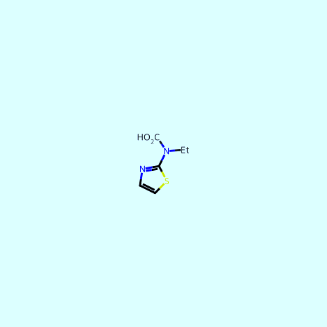 CCN(C(=O)O)c1nccs1